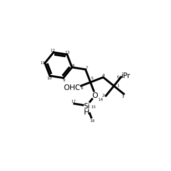 CC(C)C(C)(C)CC(C=O)(Cc1ccccc1)O[SiH](C)C